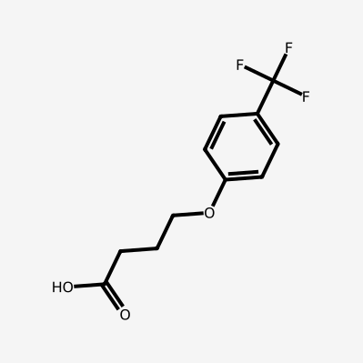 O=C(O)CCCOc1ccc(C(F)(F)F)cc1